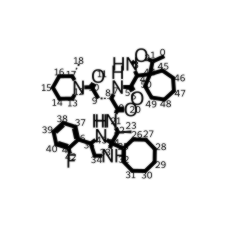 CC1ONC(C(=O)N[C@@H](CC(=O)N2CCCC[C@@H]2C)C(=O)N[C@@H](C)C2(C3CCCCCCC3)NCC(c3ccccc3F)N2)C12CCCCCC2